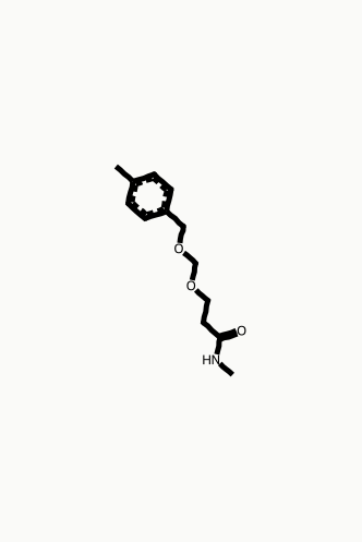 CNC(=O)CCOCOCc1ccc(C)cc1